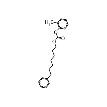 Cc1ccccc1OC(=O)OCCCCCCCc1ccccc1